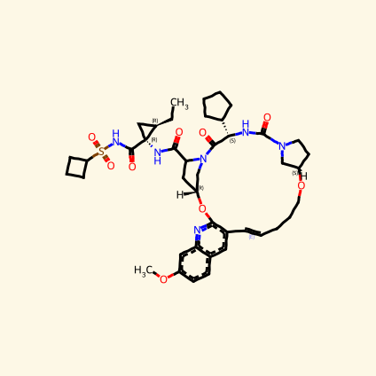 CC[C@@H]1C[C@]1(NC(=O)C1C[C@@H]2CN1C(=O)[C@H](C1CCCC1)NC(=O)N1CC[C@@H](C1)OCCC/C=C/c1cc3ccc(OC)cc3nc1O2)C(=O)NS(=O)(=O)C1CCC1